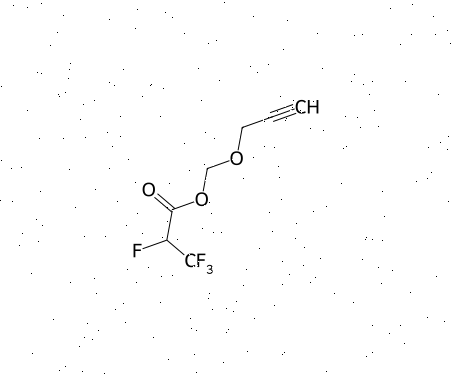 C#CCOCOC(=O)C(F)C(F)(F)F